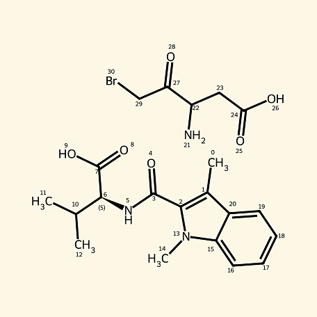 Cc1c(C(=O)N[C@H](C(=O)O)C(C)C)n(C)c2ccccc12.NC(CC(=O)O)C(=O)CBr